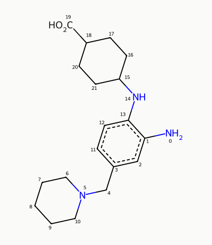 Nc1cc(CN2CCCCC2)ccc1NC1CCC(C(=O)O)CC1